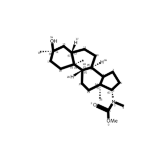 COC(=O)N(C)[C@H]1CCC2[C@@H]3CC[C@H]4C[C@](C)(O)CC[C@]4(C)[C@H]3CC[C@@]21C